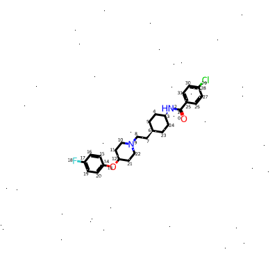 O=C(N[C@H]1CC[C@H](CCN2CCC(Oc3ccc(F)cc3)CC2)CC1)c1ccc(Cl)cc1